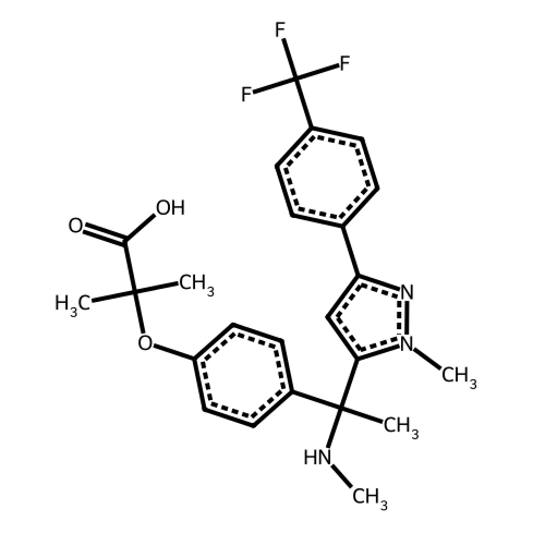 CNC(C)(c1ccc(OC(C)(C)C(=O)O)cc1)c1cc(-c2ccc(C(F)(F)F)cc2)nn1C